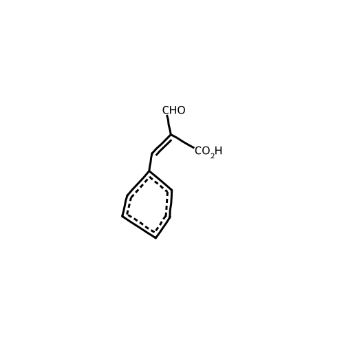 O=CC(=Cc1ccccc1)C(=O)O